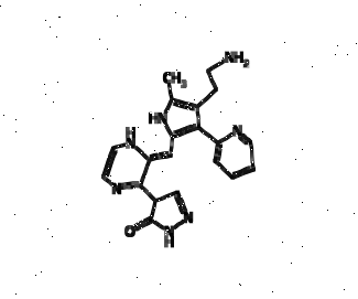 Cc1[nH]c(C=C2NC=CN=C2C2C=NNC2=O)c(-c2ccccn2)c1CCN